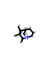 CC1=C(C)C(C)N2CCCC1C2